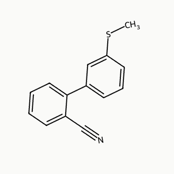 CSc1cccc(-c2ccccc2C#N)c1